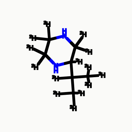 [2H]C([2H])([2H])C([2H])(C([2H])([2H])[2H])C1([2H])NC([2H])([2H])C([2H])([2H])NC1([2H])[2H]